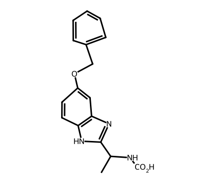 CC(NC(=O)O)c1nc2cc(OCc3ccccc3)ccc2[nH]1